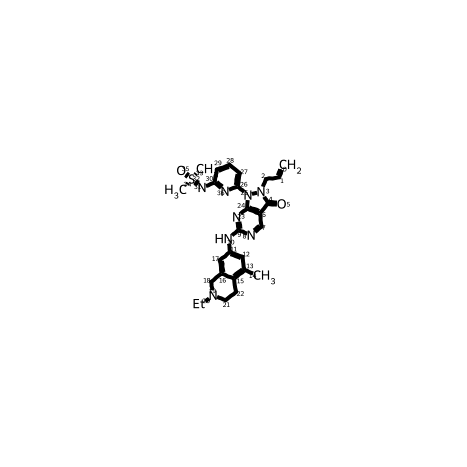 C=CCn1c(=O)c2cnc(Nc3cc(C)c4c(c3)CN(CC)CC4)nc2n1-c1cccc(N=S(C)(C)=O)n1